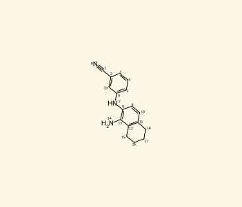 N#Cc1cccc(Nc2ccc3c(c2N)CCCC3)c1